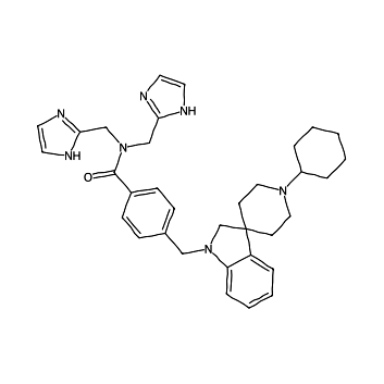 O=C(c1ccc(CN2CC3(CCN(C4CCCCC4)CC3)c3ccccc32)cc1)N(Cc1ncc[nH]1)Cc1ncc[nH]1